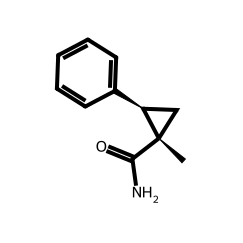 C[C@]1(C(N)=O)C[C@@H]1c1ccccc1